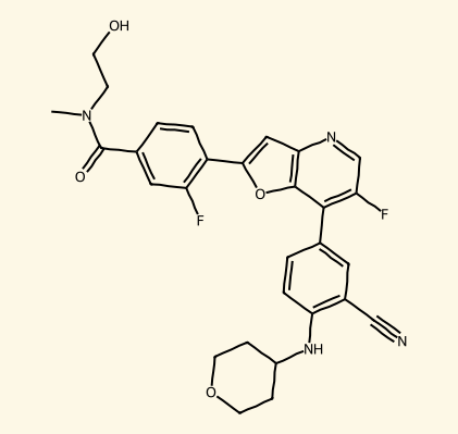 CN(CCO)C(=O)c1ccc(-c2cc3ncc(F)c(-c4ccc(NC5CCOCC5)c(C#N)c4)c3o2)c(F)c1